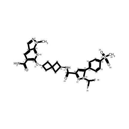 Cn1ncc2cc(C(N)=O)c(O[C@H]3CC4(C[C@H](NC(=O)c5cc(-c6ccc(S(C)(=O)=O)cc6)n(C(F)F)n5)C4)C3)nc21